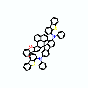 c1ccc(N(c2ccc3c(c2)C2(c4cc(N(c5ccccc5)c5cccc6c5sc5ccccc56)ccc4-3)c3ccc4c(oc5ccccc54)c3-c3cccc4cccc2c34)c2cccc3c2sc2ccccc23)cc1